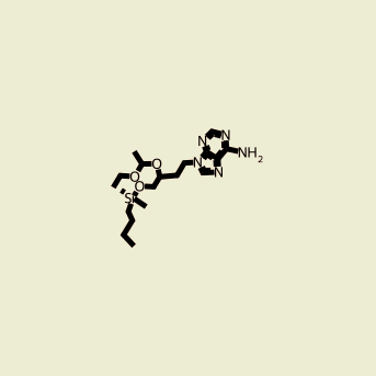 CCCC[Si](C)(C)OCC(CCn1cnc2c(N)ncnc21)OC(C)OCC